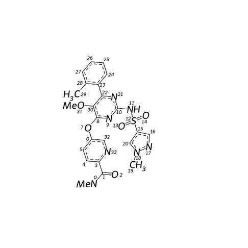 CNC(=O)c1ccc(Oc2nc(NS(=O)(=O)c3cnn(C)c3)nc(-c3ccccc3C)c2OC)cn1